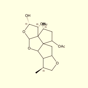 CC(=O)OC1C[C@@H](C(C)(C)C)C23C(OC4C5C(CC142)OC[C@H]5C)O[C@H](O)[C@@H]3O